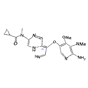 CNc1c(N)ncc(O/C(C=N)=C2\C=NC(N(C)C(=O)C3CC3)=CN2)c1OC